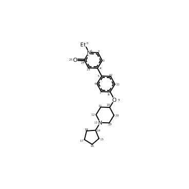 CCn1ccc(-c2ccc(OC3CCN(C4CCCC4)CC3)cc2)cc1=O